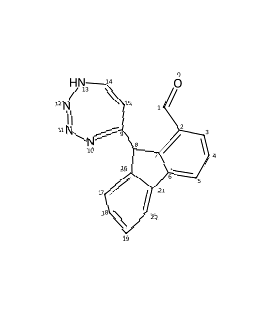 O=Cc1cccc2c1C(C1=NN=NNC=C1)c1ccccc1-2